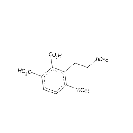 CCCCCCCCCCCCc1c(CCCCCCCC)ccc(C(=O)O)c1C(=O)O